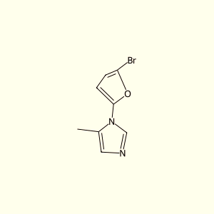 Cc1cncn1-c1ccc(Br)o1